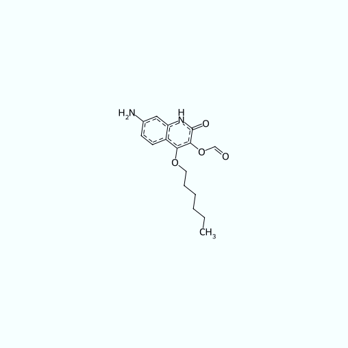 CCCCCCOc1c(OC=O)c(=O)[nH]c2cc(N)ccc12